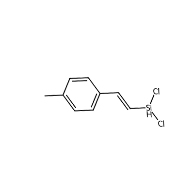 Cc1ccc(C=C[SiH](Cl)Cl)cc1